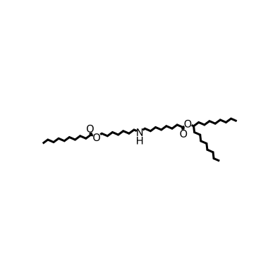 CCCCCCCCCC(=O)OCCCCCCCNCCCCCCCC(=O)OC(CCCCCCCC)CCCCCCCC